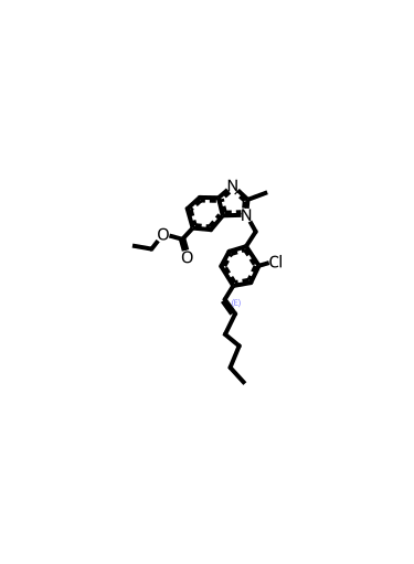 CCCC/C=C/c1ccc(Cn2c(C)nc3ccc(C(=O)OCC)cc32)c(Cl)c1